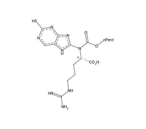 CCCCCOC(=O)N(c1nc2nc(S)ncc2[nH]1)[C@@H](CCCNC(=N)N)C(=O)O